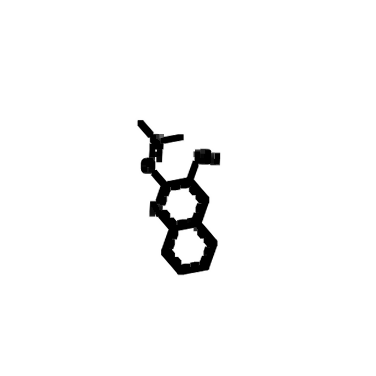 C[SiH](C)Oc1nc2ccccc2cc1C(C)(C)C